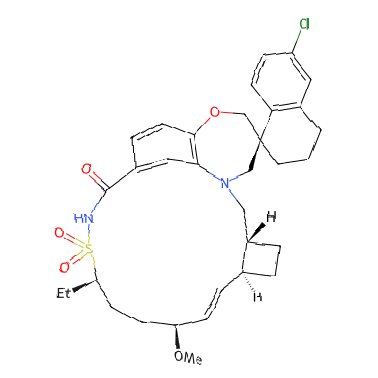 CC[C@@H]1CC[C@H](OC)/C=C/[C@@H]2CC[C@H]2CN2C[C@@]3(CCCc4cc(Cl)ccc43)COc3ccc(cc32)C(=O)NS1(=O)=O